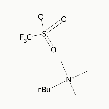 CCCC[N+](C)(C)C.O=S(=O)([O-])C(F)(F)F